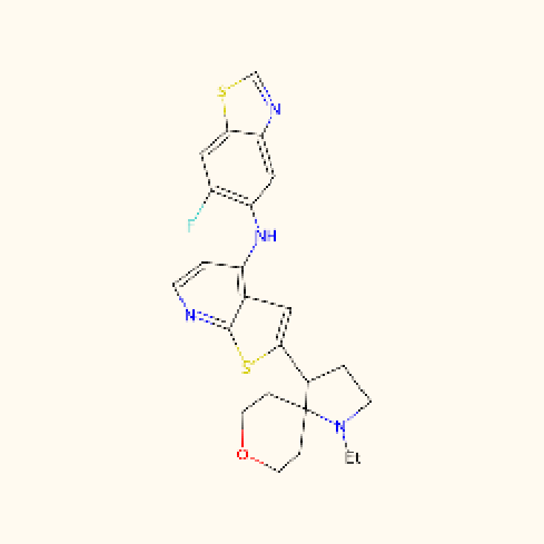 CCN1CCC(c2cc3c(Nc4cc5ncsc5cc4F)ccnc3s2)C12CCOCC2